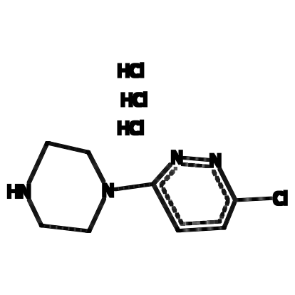 Cl.Cl.Cl.Clc1ccc(N2CCNCC2)nn1